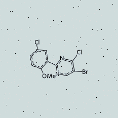 COc1ccc(Cl)cc1-c1ncc(Br)c(Cl)n1